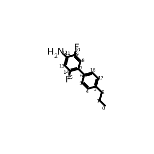 CCCc1ccc(-c2cc(F)c(N)cc2F)cc1